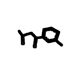 CC(=O)CC(=O)c1cccc(C)c1